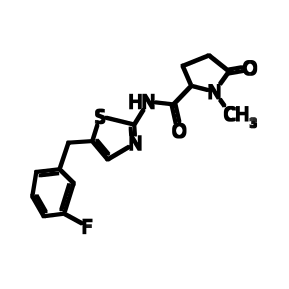 CN1C(=O)CCC1C(=O)Nc1ncc(Cc2cccc(F)c2)s1